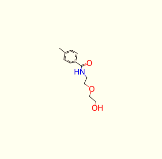 Cc1ccc(C(=O)NCCOCCO)cc1